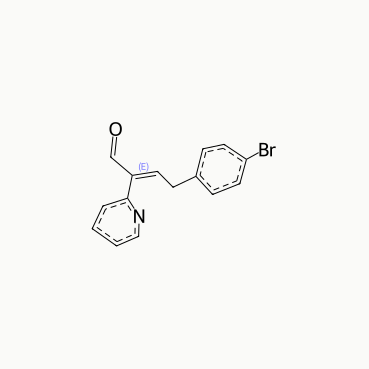 O=C/C(=C/Cc1ccc(Br)cc1)c1ccccn1